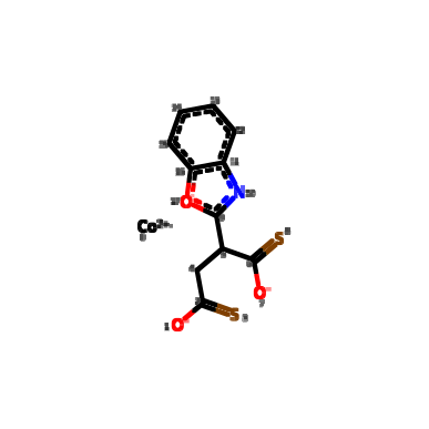 [Co+2].[O-]C(=S)CC(C([O-])=S)c1nc2ccccc2o1